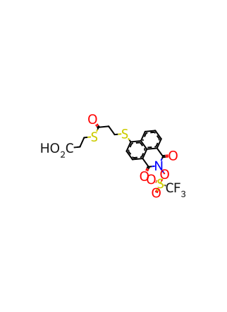 O=C(O)CCSC(=O)CCSc1ccc2c3c(cccc13)C(=O)N(OS(=O)(=O)C(F)(F)F)C2=O